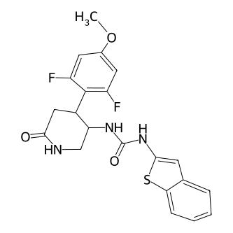 COc1cc(F)c(C2CC(=O)NCC2NC(=O)Nc2cc3ccccc3s2)c(F)c1